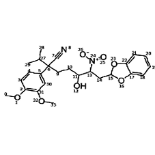 COc1ccc(C(C#N)(CCC(O)C(CC2Oc3ccccc3O2)[N+](=O)[O-])C(C)C)cc1OC